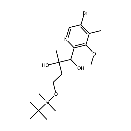 COc1c(C(O)C(C)(O)CCO[Si](C)(C)C(C)(C)C)ncc(Br)c1C